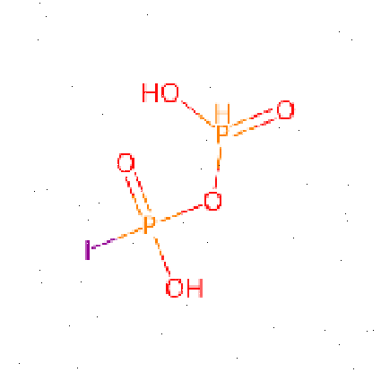 O=[PH](O)OP(=O)(O)I